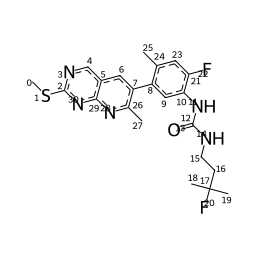 CSc1ncc2cc(-c3cc(NC(=O)NCCC(C)(C)F)c(F)cc3C)c(C)nc2n1